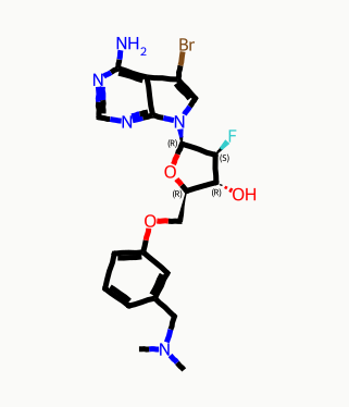 CN(C)Cc1cccc(OC[C@H]2O[C@@H](n3cc(Br)c4c(N)ncnc43)[C@@H](F)[C@@H]2O)c1